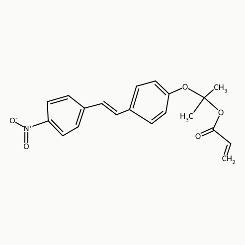 C=CC(=O)OC(C)(C)Oc1ccc(C=Cc2ccc([N+](=O)[O-])cc2)cc1